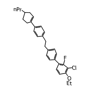 CCCC1CC=C(c2ccc(CCc3ccc(-c4ccc(OCC)c(Cl)c4F)cc3)cc2)CC1